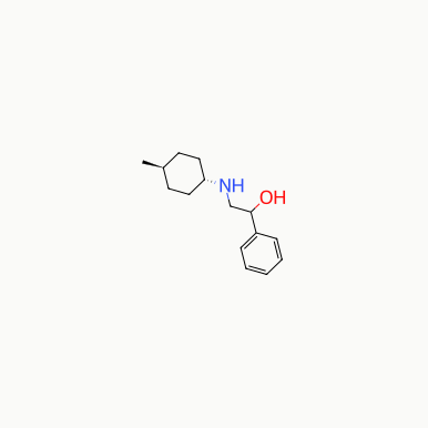 C[C@H]1CC[C@H](NCC(O)c2ccccc2)CC1